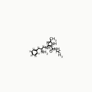 CCNC(=O)c1[nH]c(C)nc1NC[C@H](N)Cc1ccccc1